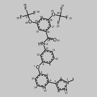 Cn1cc(-c2cc(Oc3cccc(NC(=O)c4cc(OC(F)(F)F)cc(OC(F)(F)F)c4)c3)ccn2)cn1